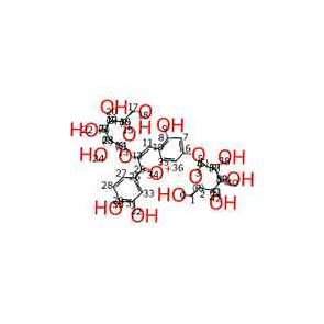 OC[C@H]1O[C@@H](Oc2cc(O)c3cc(O[C@@H]4O[C@H](CO)[C@@H](O)[C@H](O)[C@H]4O)c(-c4ccc(O)c(O)c4)[o+]c3c2)[C@H](O)[C@@H](O)[C@@H]1O